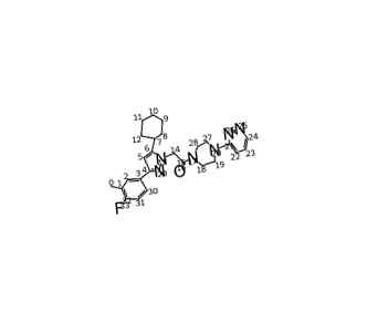 Cc1cc(-c2cc(C3CCCCC3)n(CC(=O)N3CCN(c4cccnn4)CC3)n2)ccc1F